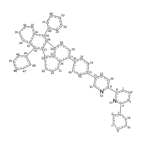 c1ccc(-c2cccc(-c3ccc(-c4ccc(-c5ccc6c7c(cccc57)-c5c-6c(-c6ccccc6)c6ccccc6c5-c5ccccc5)cc4)cn3)n2)cc1